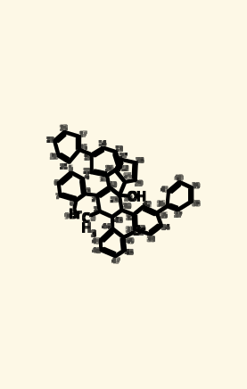 CC1C(c2ccccc2Br)=C(c2cccc(-c3ccccc3)c2)C(O)(C2C=CC=C2)C(c2cccc(-c3ccccc3)c2)C1c1ccccc1Br